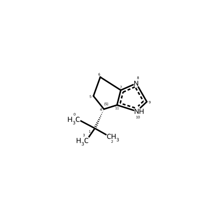 CC(C)(C)[C@@H]1CCc2nc[nH]c21